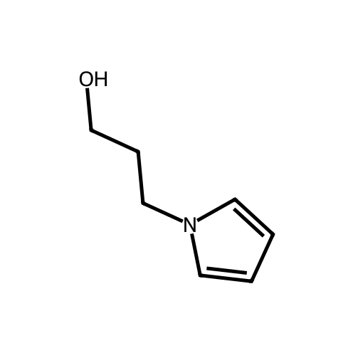 OCCCn1cccc1